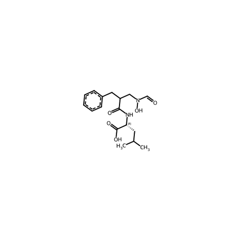 CC(C)C[C@@H](NC(=O)C(Cc1ccccc1)CN(O)C=O)C(=O)O